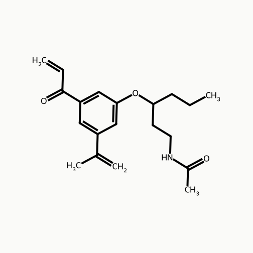 C=CC(=O)c1cc(OC(CCC)CCNC(C)=O)cc(C(=C)C)c1